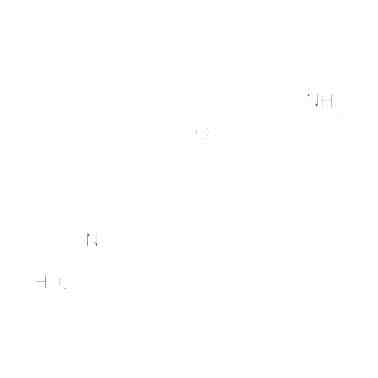 CN1CCc2oc3c(N)cccc3c2C1